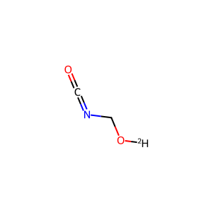 [2H]OCN=C=O